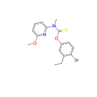 CCc1cc(OC(=S)N(C)c2cccc(OC)n2)ccc1Br